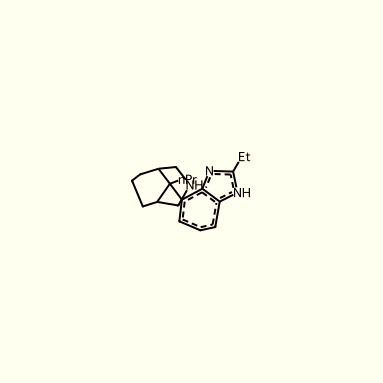 CCCC1(c2cccc3[nH]c(CC)nc23)C2CCCC1CNC2